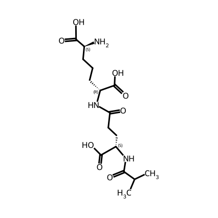 CC(C)C(=O)N[C@@H](CCC(=O)N[C@H](CCC[C@H](N)C(=O)O)C(=O)O)C(=O)O